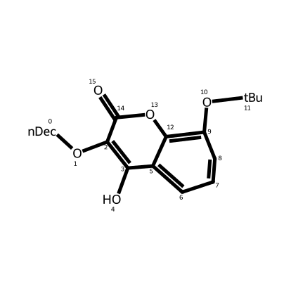 CCCCCCCCCCOc1c(O)c2cccc(OC(C)(C)C)c2oc1=O